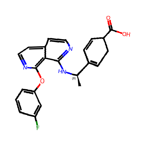 C[C@@H](Nc1nccc2ccnc(Oc3cccc(F)c3)c12)C1=CCC(C(=O)O)C=C1